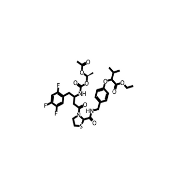 CCOC(=O)C(Oc1ccc(CNC(=O)C2SCCN2C(=O)CC(Cc2cc(F)c(F)cc2F)NC(=O)O[C@H](C)OC(C)=O)cc1)C(C)C